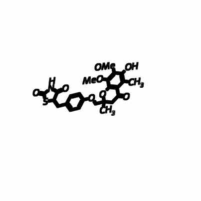 COc1c(O)c(C)c2c(c1OC)OC(C)(COc1ccc(CC3SC(=O)NC3=O)cc1)CC2=O